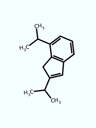 CC(C)C1=Cc2cccc(C(C)C)c2C1